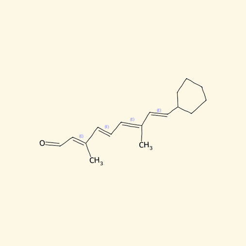 CC(/C=C/C=C(C)/C=C/C1CCCCC1)=C\C=O